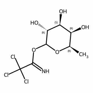 C[C@H]1OC(OC(=N)C(Cl)(Cl)Cl)[C@H](O)[C@@H](O)[C@H]1O